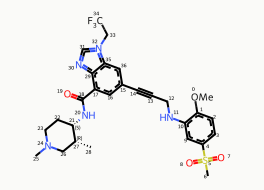 COc1ccc(S(C)(=O)=O)cc1NCC#Cc1cc(C(=O)N[C@H]2CCN(C)C[C@H]2C)c2ncn(CC(F)(F)F)c2c1